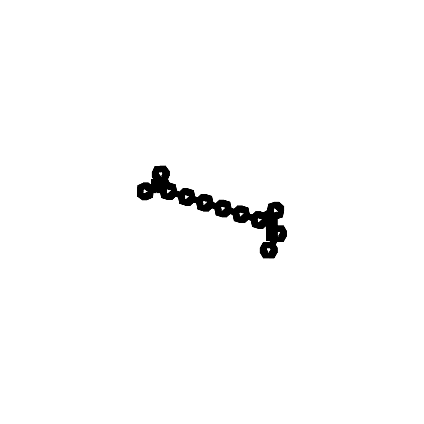 c1ccc(-c2cccc(-n3c4ccccc4c4cc(-c5ccc(-c6ccc(-c7ccc(-c8ccc(-c9ccc%10c(c9)c9ccccc9n%10-c9ccccc9)cc8)cc7)cc6)cc5)ccc43)n2)cc1